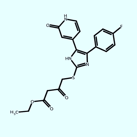 CCOC(=O)CC(=O)CSc1nc(-c2ccc(F)cc2)c(-c2cc[nH]c(=O)c2)[nH]1